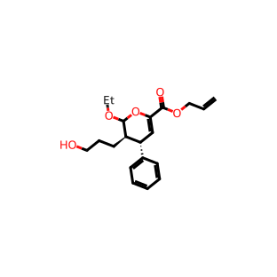 C=CCOC(=O)C1=C[C@H](c2ccccc2)[C@@H](CCCO)C(OCC)O1